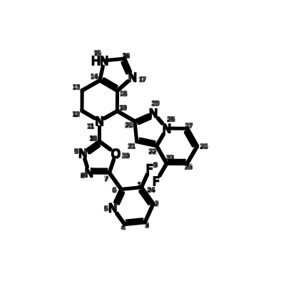 Fc1cccnc1-c1nnc(N2CCc3[nH]cnc3C2c2cc3c(F)cccn3n2)o1